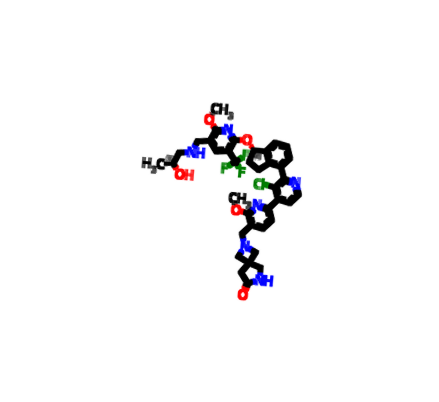 COc1nc(-c2ccnc(-c3cccc4c3CC[C@H]4Oc3nc(OC)c(CNC[C@H](C)O)cc3C(F)(F)F)c2Cl)ccc1CN1CC2(CNC(=O)C2)C1